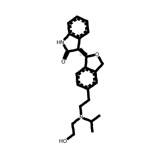 CC(C)N(CCO)CCc1ccc2c(c1)CO/C2=C1/C(=O)Nc2ccccc21